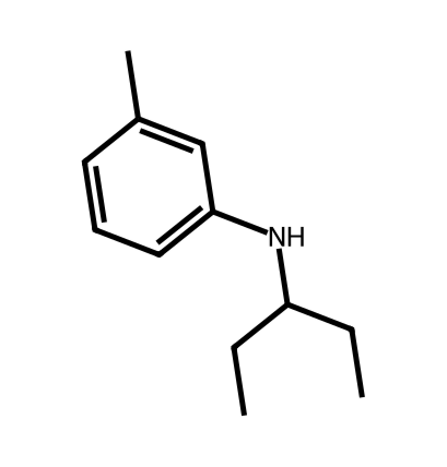 CCC(CC)Nc1cccc(C)c1